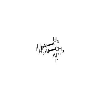 [Al+3].[CH3][AlH2].[CH3][AlH2].[I-].[I-].[I-]